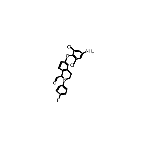 Nc1cc(Cl)c(Oc2ccc3c(c2)CCN(c2ccc(F)cc2)C3C=O)c(Cl)c1